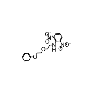 O=[N+]([O-])c1cccc([N+](=O)[O-])c1NCCOCCOc1ccccc1